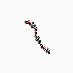 c1cc(-c2ccc3c(c2)oc2cc4c(-c5cccc6c(-c7c8ccccc8c(-c8ccc9c(c8)oc8cc%10ccccc%10cc89)c8ccccc78)cccc56)cccc4cc23)cc(-c2c3ccccc3c(-c3cccc4c(-c5ccc6c(ccc7c8ccc(-c9c%10ccccc%10c(-c%10cccc%11ccccc%10%11)c%10ccccc9%10)cc8oc67)c5)cccc34)c3ccccc23)c1